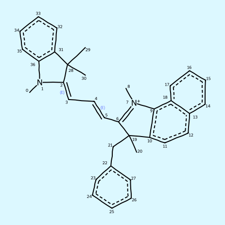 CN1/C(=C/C=C/C2=[N+](C)c3c(ccc4ccccc34)C2(C)Cc2ccccc2)C(C)(C)c2ccccc21